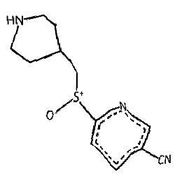 N#Cc1ccc([S+]([O-])CC2CCNCC2)nc1